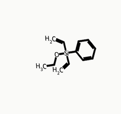 C=C[Si](C=C)(OCC)c1ccccc1